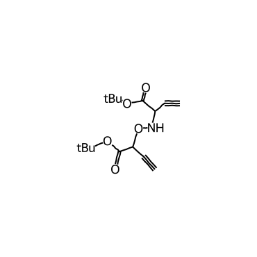 C#CC(NOC(C#C)C(=O)OC(C)(C)C)C(=O)OC(C)(C)C